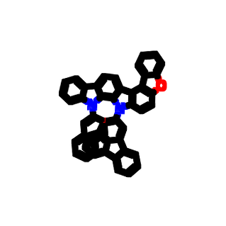 c1ccc2c(c1)-c1cccc3cc(-n4c5ccc6oc7ccccc7c6c5c5ccc6c7ccccc7n(-c7ccc8ccccc8c7)c6c54)cc-2c13